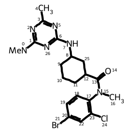 CNc1nc(C)nc(NC2CCCC(C(=O)N(C)c3ccc(Br)cc3Cl)C2)n1